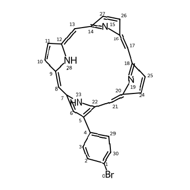 Brc1ccc(-c2cc3cc4ccc(cc5nc(cc6nc(cc2[nH]3)C=C6)C=C5)[nH]4)cc1